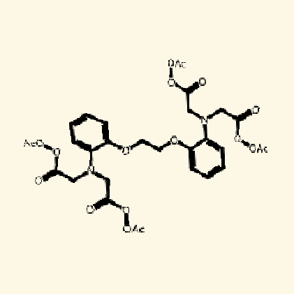 CC(=O)OOC(=O)CN(CC(=O)OOC(C)=O)c1ccccc1OCCOc1ccccc1N(CC(=O)OOC(C)=O)CC(=O)OOC(C)=O